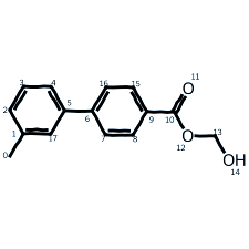 Cc1cccc(-c2ccc(C(=O)OCO)cc2)c1